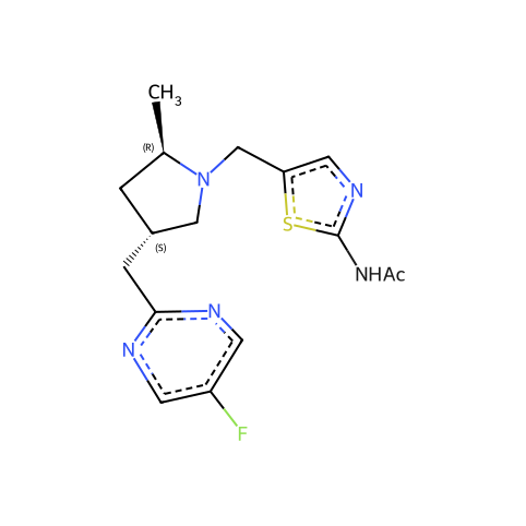 CC(=O)Nc1ncc(CN2C[C@H](Cc3ncc(F)cn3)C[C@H]2C)s1